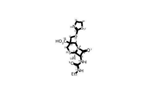 CCNC(=O)NC1C(=O)N2CC(CSC3=NCCS3)(C(=O)O)CS[C@H]12